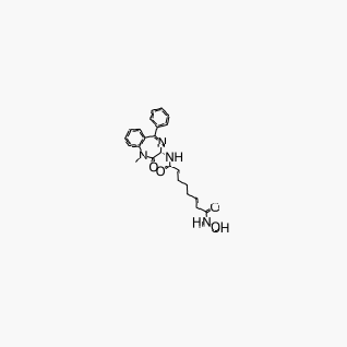 CN1C(=O)[C@@H](NC(=O)CCCCCCC(=O)NO)N=C(c2ccccc2)c2ccccc21